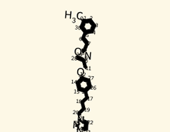 Cc1cccc(/C=C/c2nc(COc3ccc(CCCCn4ccnn4)cc3)co2)c1